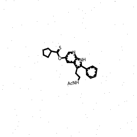 CC(=O)NCCc1c(-c2ccccc2)[nH]c2ncc(OC(=S)C3CCCC3)cc12